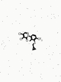 Cc1c(-n2ncc(Cl)c(Cl)c2=O)ccc(C(F)(F)F)c1SCC1CC1